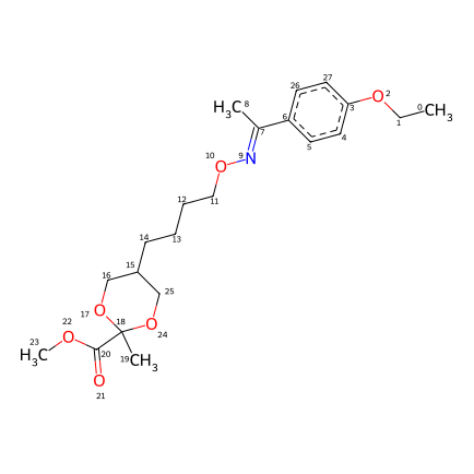 CCOc1ccc(C(C)=NOCCCCC2COC(C)(C(=O)OC)OC2)cc1